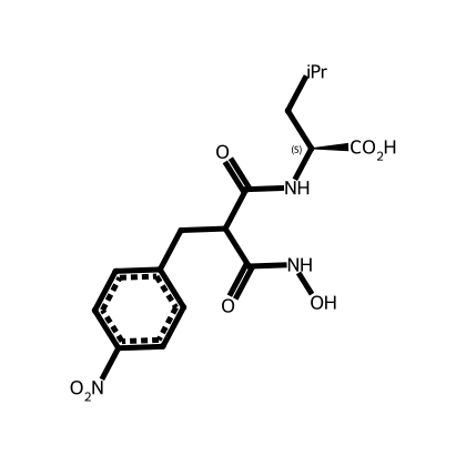 CC(C)C[C@H](NC(=O)C(Cc1ccc([N+](=O)[O-])cc1)C(=O)NO)C(=O)O